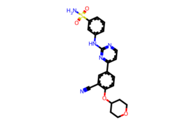 N#Cc1cc(-c2ccnc(Nc3cccc(S(N)(=O)=O)c3)n2)ccc1OC1CCOCC1